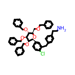 NCCc1ccc(Cc2cc([C@@H]3O[C@H](COCc4ccccc4)[C@@H](OCc4ccccc4)[C@H](OCc4ccccc4)[C@H]3OCc3ccccc3)ccc2Cl)cc1